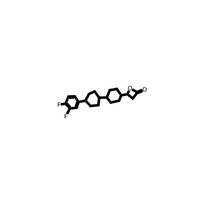 O=C1CC(C2CCC(C3CCC(c4ccc(F)c(F)c4)CC3)CC2)O1